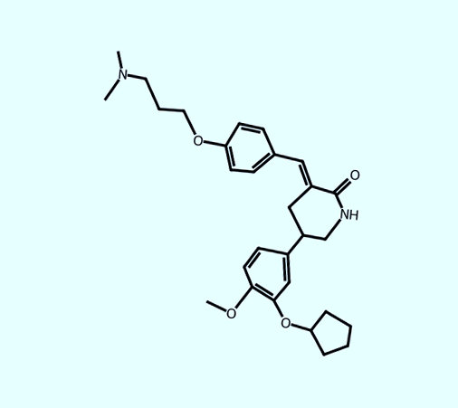 COc1ccc(C2CNC(=O)C(=Cc3ccc(OCCCN(C)C)cc3)C2)cc1OC1CCCC1